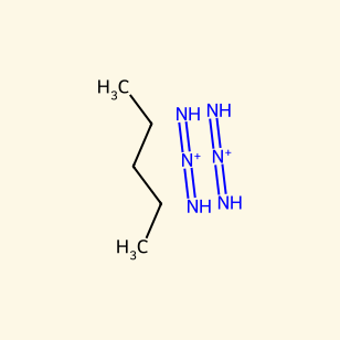 CCCCC.N=[N+]=N.N=[N+]=N